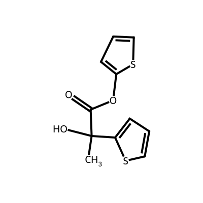 CC(O)(C(=O)Oc1cccs1)c1cccs1